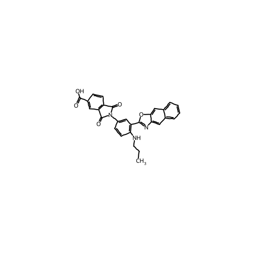 CCCNc1ccc(N2C(=O)c3ccc(C(=O)O)cc3C2=O)cc1-c1nc2cc3ccccc3cc2o1